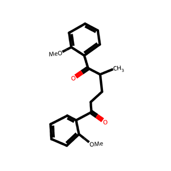 COc1ccccc1C(=O)CCC(C)C(=O)c1ccccc1OC